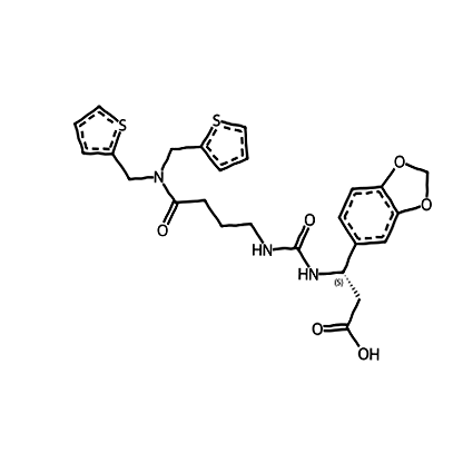 O=C(O)C[C@H](NC(=O)NCCCC(=O)N(Cc1cccs1)Cc1cccs1)c1ccc2c(c1)OCO2